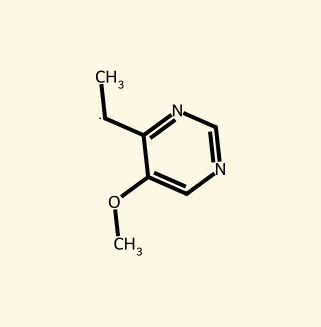 C[CH]c1ncncc1OC